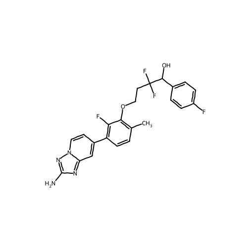 Cc1ccc(-c2ccn3nc(N)nc3c2)c(F)c1OCCC(F)(F)C(O)c1ccc(F)cc1